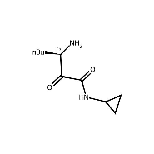 CCCC[C@@H](N)C(=O)C(=O)NC1CC1